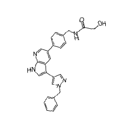 O=C(CO)NCc1ccc(-c2cnc3[nH]cc(-c4cnn(Cc5ccccc5)c4)c3c2)cc1